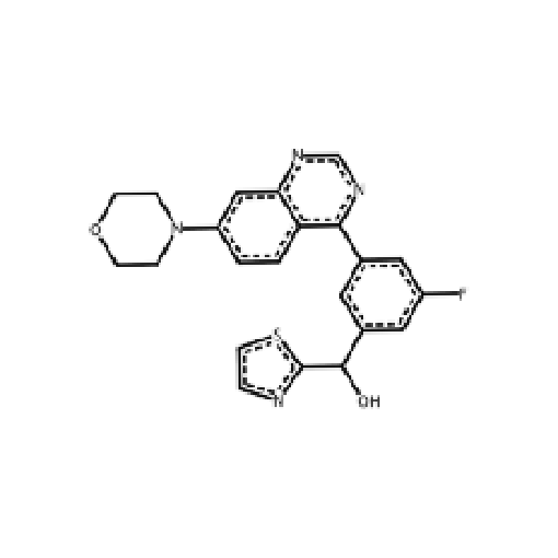 OC(c1cc(F)cc(-c2ncnc3cc(N4CCOCC4)ccc23)c1)c1nccs1